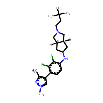 Cc1nn(C)cc1-c1ccc(N[C@H]2C[C@@H]3CN(CCC(C)(C)C)C[C@@H]3C2)c(F)c1F